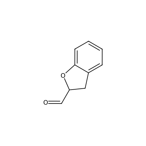 O=CC1Cc2ccccc2O1